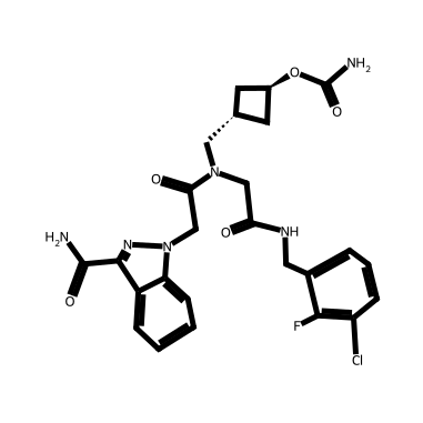 NC(=O)O[C@H]1C[C@H](CN(CC(=O)NCc2cccc(Cl)c2F)C(=O)Cn2nc(C(N)=O)c3ccccc32)C1